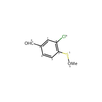 COSc1ccc(C=O)cc1Cl